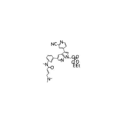 CCOP(=O)(OCC)OCn1cc(-c2ccnc(C#N)c2)c2cc(-c3cccc(N(C)C(=O)C=CCN(C)C)c3)cnc21